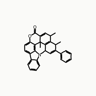 CC1C=C2C(=O)Oc3ccc4c5ccccc5n5c4c3C2(C)C2=C1C(C)C(c1ccccc1)=CC25